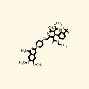 CCOC(=O)C1=C(COC2CCN(c3nc(N)c4cc(OC)c(OC)cc4n3)CC2)N=C(C)C(C(=O)OC)C1c1cccc(C(F)(F)F)c1Cl